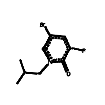 CC(C)Cn1cc(Br)cc(F)c1=O